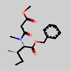 CC[C@H](C)[C@@H](C(=O)OCc1ccccc1)N(C)C(=O)CC(=O)OC